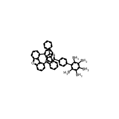 Bc1c(B)c(B)c(-c2ccc(-c3nc(-c4ccccc4)nc(-c4cccc5oc6cccc(-c7cccc8c7sc7ccccc78)c6c45)n3)cc2)c(B)c1B